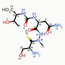 CC(O)[C@H](NC(=O)N[C@@H](CC(N)=O)C(=O)NN(C)C(=S)[C@@H](N)CO)C(=O)O